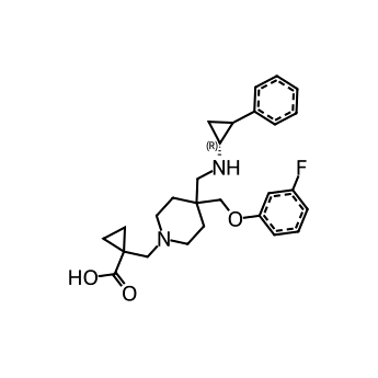 O=C(O)C1(CN2CCC(CN[C@@H]3CC3c3ccccc3)(COc3cccc(F)c3)CC2)CC1